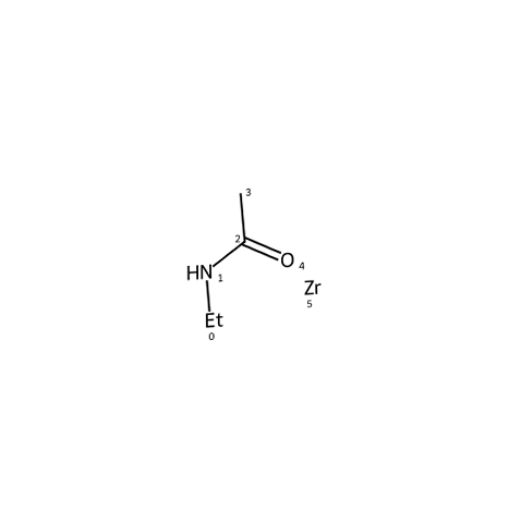 CCNC(C)=O.[Zr]